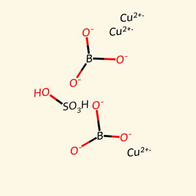 O=S(=O)(O)O.[Cu+2].[Cu+2].[Cu+2].[O-]B([O-])[O-].[O-]B([O-])[O-]